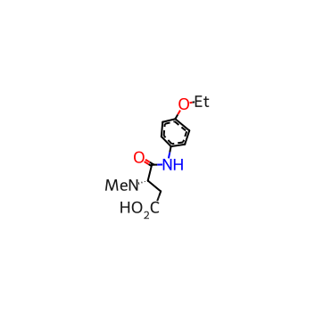 CCOc1ccc(NC(=O)[C@H](CC(=O)O)NC)cc1